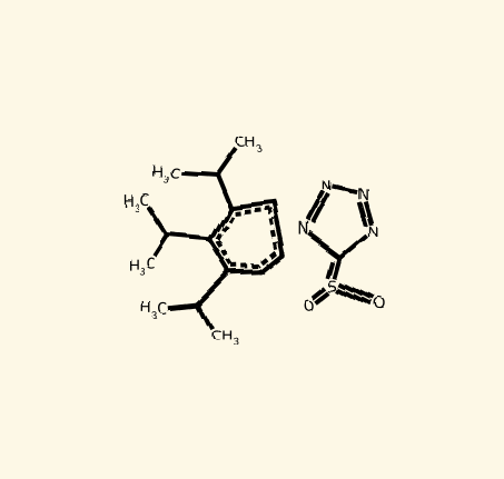 CC(C)c1cccc(C(C)C)c1C(C)C.O=S(=O)=C1N=NN=N1